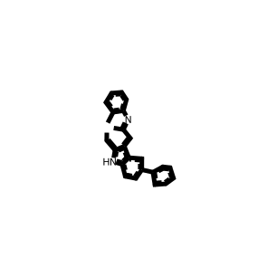 C/C=c1/[nH]c2ccc(-c3ccccc3)cc2/c1=C/C(C)=N/c1ccccc1C